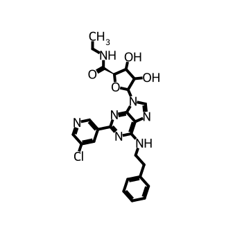 CCNC(=O)[C@@H]1OC(n2cnc3c(NCCc4ccccc4)nc(-c4cncc(Cl)c4)nc32)C(O)C1O